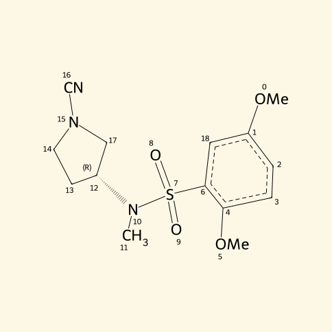 COc1ccc(OC)c(S(=O)(=O)N(C)[C@@H]2CCN(C#N)C2)c1